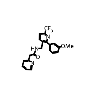 COc1cccc(-c2nc(C(F)(F)F)ccc2CNC(=O)Cc2ccccn2)c1